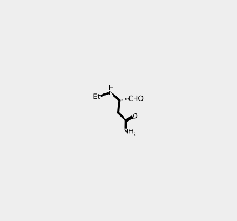 CCN[C@H](C=O)CC(N)=O